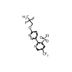 CCS(=O)(=O)c1cc(C(F)(F)F)cnc1-c1ccc(OCC(C)(F)F)nn1